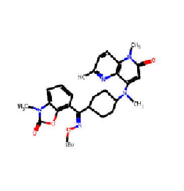 CN(c1cc(=O)n(C)c2ccc(C#N)nc12)C1CCC(/C(=N/OC(C)(C)C)c2cccc3c2oc(=O)n3C)CC1